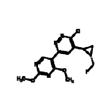 COc1ncc(-c2cc([C@H]3C[C@@H]3CF)c(Cl)nn2)c(OC)n1